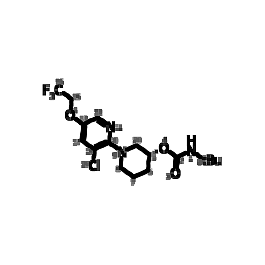 CC(C)(C)NC(=O)O[C@@H]1CCCN(c2ncc(OCC(F)(F)F)cc2Cl)C1